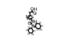 O=C(O)Cc1nnc(NC(=O)N(C2CCCCC2)C2CCCCC2)s1